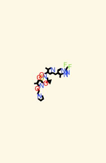 Cc1cnc(Cc2ccn3c(C(F)F)nnc3c2C)cc1CN1CC2(CC2)Oc2nc(OCCN3CCCC3)c(C)cc2S1(=O)=O